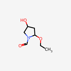 CCOC1CC(O)CN1C=O